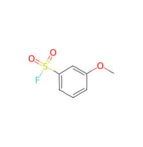 COc1cccc(S(=O)(=O)F)c1